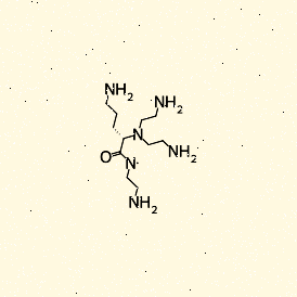 NCCC[C@@H](C(=O)[N]CCN)N(CCN)CCN